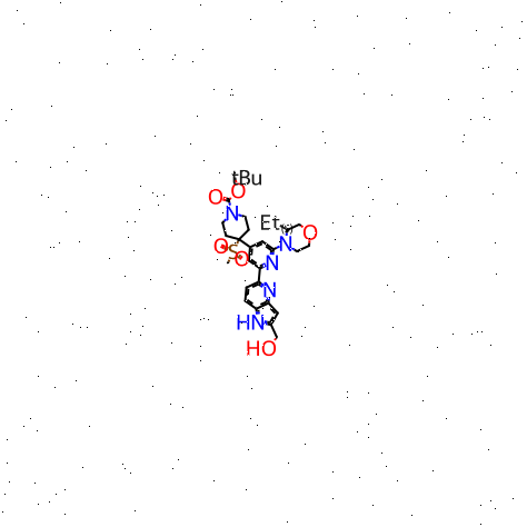 CC[C@H]1COCCN1c1cc(C2(S(C)(=O)=O)CCN(C(=O)OC(C)(C)C)CC2)cc(-c2ccc3[nH]c(CO)cc3n2)n1